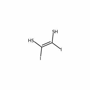 S/C(I)=C(\S)I